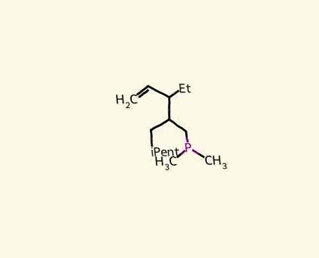 C=CC(CC)C(CC(C)CCC)CP(C)C